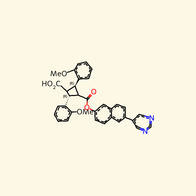 COc1ccccc1[C@@H]1C(C(=O)O)[C@@H](c2ccccc2OC)C1C(=O)Oc1ccc2cc(-c3cncnc3)ccc2c1